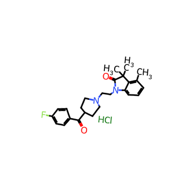 Cc1cccc2c1C(C)(C)C(=O)N2CCN1CCC(C(=O)c2ccc(F)cc2)CC1.Cl